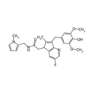 COc1cc(CC2=C(C)C(CC(=O)NCc3cccn3C)c3cc(F)cnc32)cc(OC)c1O